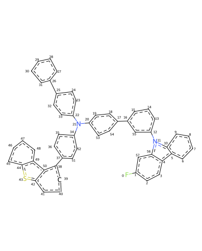 Fc1ccc2c3ccccc3n(-c3cccc(-c4ccc(N(c5ccc(-c6ccccc6)cc5)c5ccc(-c6cccc7sc8ccccc8c67)cc5)cc4)c3)c2c1